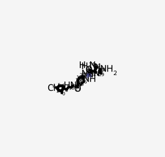 Cc1cc(Cl)ccc1CCCNC(=O)N1CCC2(CC1)CN/C(=N\C(=O)c1nc(C)c(N)nc1N)N2